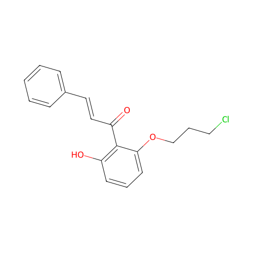 O=C(C=Cc1ccccc1)c1c(O)cccc1OCCCCl